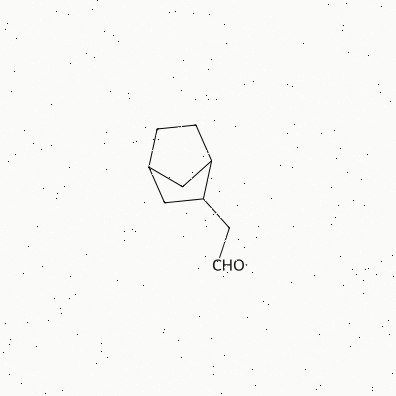 O=[C]CC1CC2CCC1C2